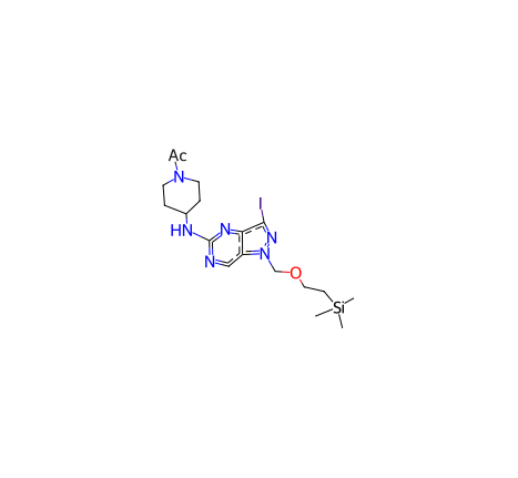 CC(=O)N1CCC(Nc2ncc3c(n2)c(I)nn3COCC[Si](C)(C)C)CC1